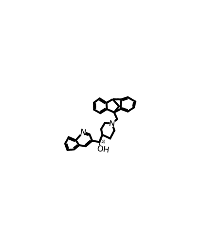 O[C@H](c1cnc2ccccc2c1)C1CCN(CC23CC(c4ccccc42)c2ccccc23)CC1